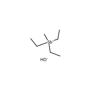 C[CH2][Sb+]([CH3])([CH2]C)[CH2]C.[OH-]